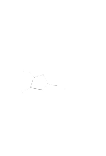 CN1CN(C)C(N)N1